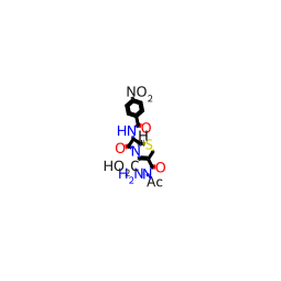 CC(=O)N(N)C(=O)C1=C(C(=O)O)N2C(=O)C(NC(=O)c3ccc([N+](=O)[O-])cc3)[C@H]2SC1